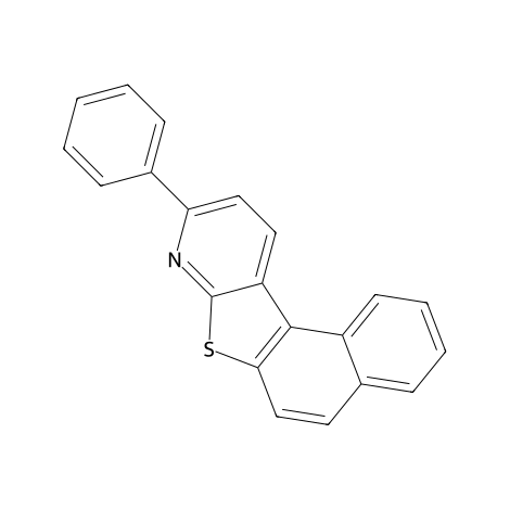 c1ccc(-c2ccc3c(n2)sc2ccc4ccccc4c23)cc1